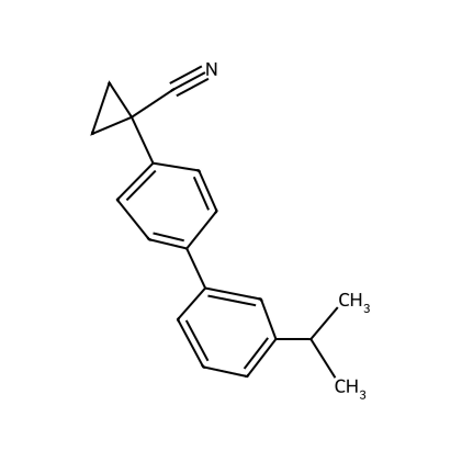 CC(C)c1cccc(-c2ccc(C3(C#N)CC3)cc2)c1